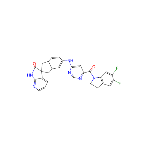 O=C(c1cc(NC2=CC3CC4(CC3C=C2)C(=O)Nc2ncccc24)ncn1)N1CCc2cc(F)c(F)cc21